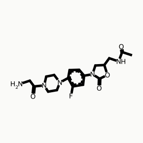 CC(=O)NCC1CN(c2ccc(N3CCN(C(=O)CN)CC3)c(F)c2)C(=O)O1